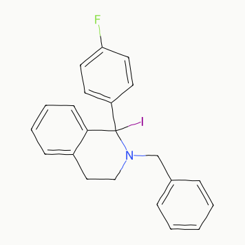 Fc1ccc(C2(I)c3ccccc3CCN2Cc2ccccc2)cc1